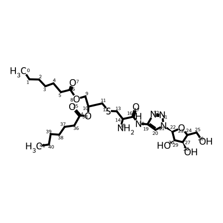 CCCCCCC(=O)OCC(CSCC(N)C(=O)Nc1cn([C@H]2OC(CO)[C@@H](O)[C@@H]2O)nn1)OC(=O)CCCCCC